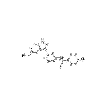 CC(C)Oc1ccc2[nH]nc(-c3ccnc(NC(=O)c4ccc(C#N)cc4)c3)c2c1